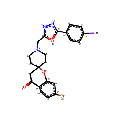 O=C1CC2(CCN(Cc3nnc(-c4ccc(I)cc4)o3)CC2)Oc2cc(Br)ccc21